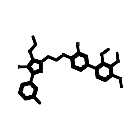 CCOc1c(F)c(-c2cccc(C)c2)nn1CCOc1ccc(-c2ccc(OC)c(OC)c2OC)cc1Cl